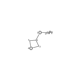 CCCOC1COC1